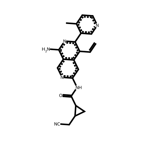 C=Cc1c(-c2cnccc2C)nc(N)c2cnc(NC(=O)C3CC3CC#N)cc12